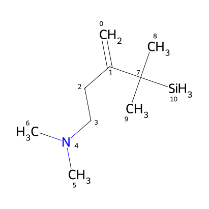 C=C(CCN(C)C)C(C)(C)[SiH3]